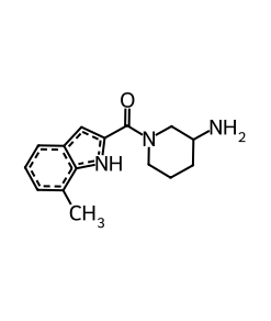 Cc1cccc2cc(C(=O)N3CCCC(N)C3)[nH]c12